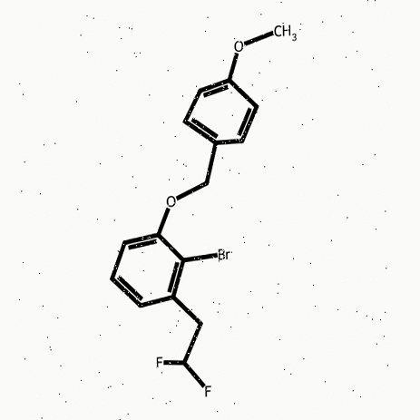 COc1ccc(COc2cccc(CC(F)F)c2Br)cc1